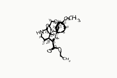 CCOC(=O)C1=NN(c2ccc(OC)cc2)C2(N3CCOCC3)C(=O)NCCC12